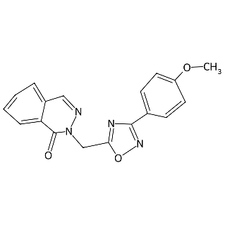 COc1ccc(-c2noc(Cn3ncc4ccccc4c3=O)n2)cc1